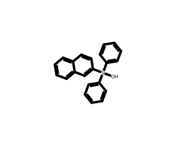 O[Si](c1ccccc1)(c1ccccc1)c1ccc2ccccc2c1